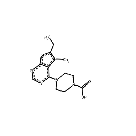 CCc1sc2ncnc(N3CCN(C(=O)O)CC3)c2c1C